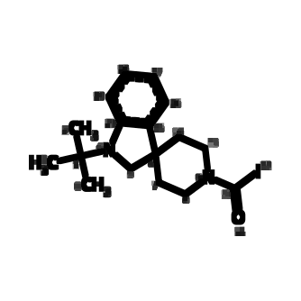 CC(C)(C)N1CC2(CCN(C(=O)I)CC2)c2ccccc21